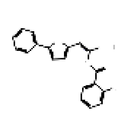 O=C(O)/C(=C/c1ccc(-c2ccccc2)o1)NC(=O)c1ccccc1O